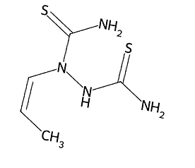 C/C=C\N(NC(N)=S)C(N)=S